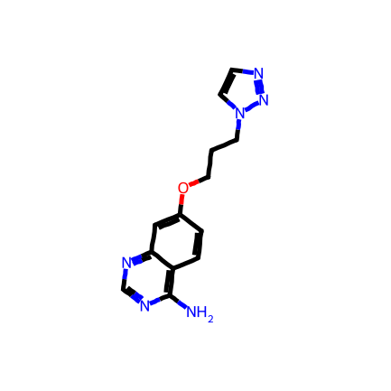 Nc1ncnc2cc(OCCCn3ccnn3)ccc12